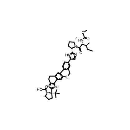 CC[C@H](C)[C@H](NC(=O)OC)C(=O)N1[C@@H](C)CC[C@H]1c1ncc(-c2ccc3c(c2)COc2cc4c(cc2-3)CCc2nc([C@@]3(C(C)(C)C)CC[C@H](C)N3C(=O)O)[nH]c2-4)[nH]1